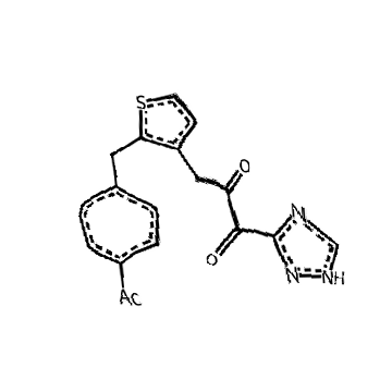 CC(=O)c1ccc(Cc2sccc2CC(=O)C(=O)c2nc[nH]n2)cc1